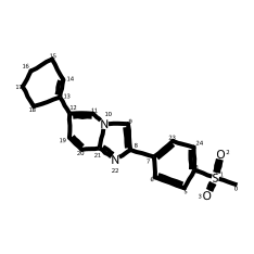 CS(=O)(=O)c1ccc(-c2cn3cc(C4=CCCCC4)ccc3n2)cc1